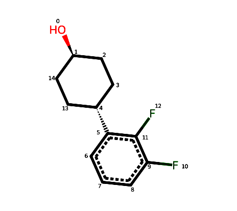 O[C@H]1CC[C@H](c2cccc(F)c2F)CC1